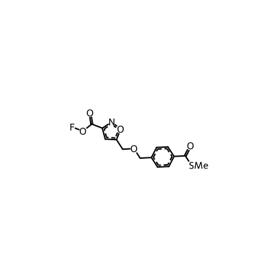 CSC(=O)c1ccc(COCc2cc(C(=O)OF)no2)cc1